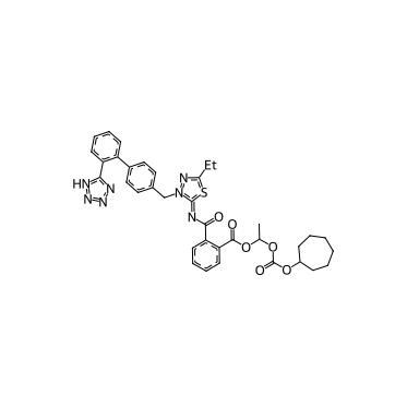 CCc1nn(Cc2ccc(-c3ccccc3-c3nnn[nH]3)cc2)c(=NC(=O)c2ccccc2C(=O)OC(C)OC(=O)OC2CCCCCC2)s1